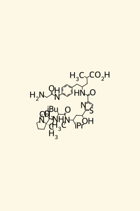 CCC(C)C(NC(=O)[C@@]1(C)CCCN1C)C(=O)N(C)C(CC(O)c1nc(C(=O)NC(Cc2ccc(NC(=O)CN)cc2)CC(C)C(=O)O)cs1)C(C)C